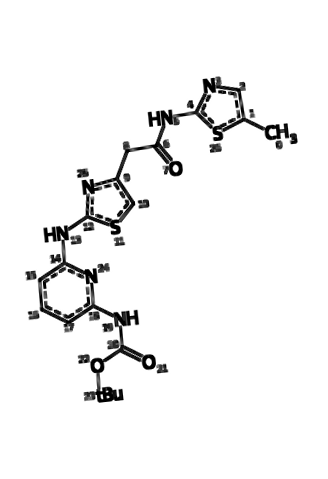 Cc1cnc(NC(=O)Cc2csc(Nc3cccc(NC(=O)OC(C)(C)C)n3)n2)s1